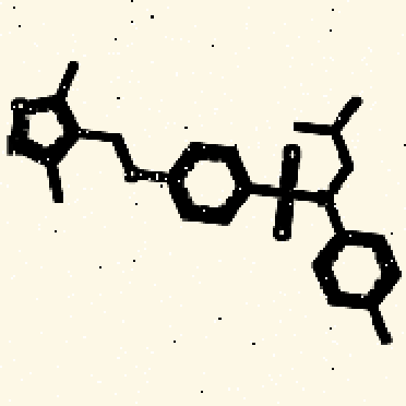 Cc1ccc(N(CC(C)C)S(=O)(=O)c2ccc(OCc3c(C)noc3C)cc2)cc1